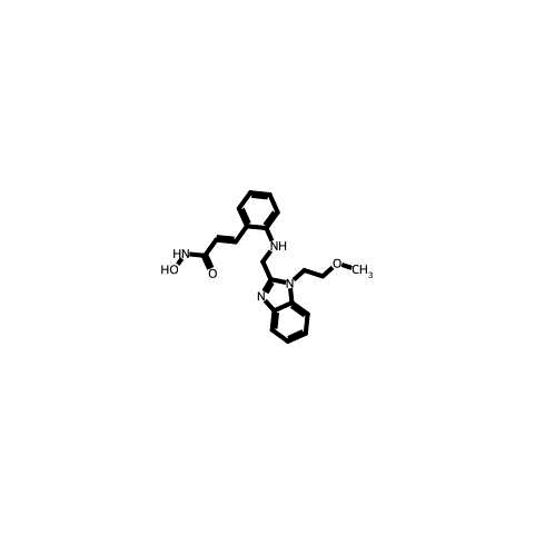 COCCn1c(CNc2ccccc2C=CC(=O)NO)nc2ccccc21